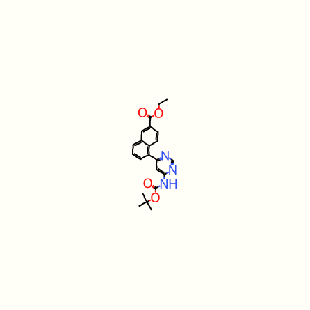 CCOC(=O)c1ccc2c(-c3cc(NC(=O)OC(C)(C)C)ncn3)cccc2c1